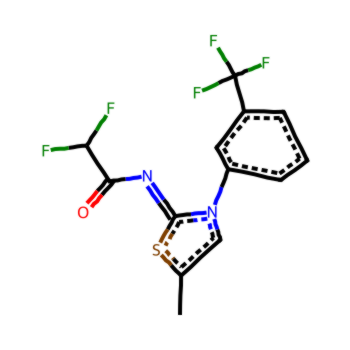 Cc1cn(-c2cccc(C(F)(F)F)c2)c(=NC(=O)C(F)F)s1